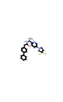 C[C@@H](NC(=O)Cc1ccc(-c2ccccc2)cc1)c1ccc(N2CCC(F)(F)C2)cn1